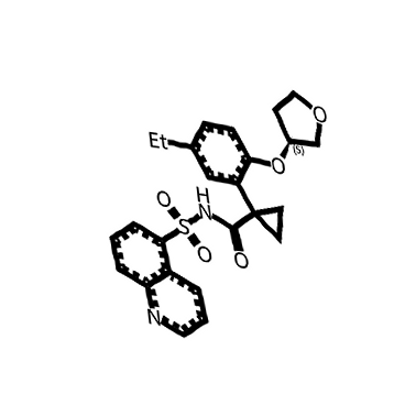 CCc1ccc(O[C@H]2CCOC2)c(C2(C(=O)NS(=O)(=O)c3cccc4ncccc34)CC2)c1